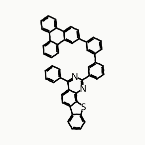 c1ccc(-c2nc(-c3cccc(-c4cccc(-c5ccc6c7ccccc7c7ccccc7c6c5)c4)c3)nc3c2ccc2c4ccccc4sc23)cc1